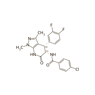 Cc1nn(C)c2c1[C@H](c1ccc(F)c(F)c1)[C@H](NC(=O)c1ccc(Cl)cc1)C(=O)N2